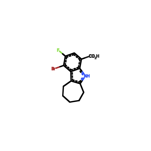 O=C(O)c1cc(F)c(Br)c2c3c([nH]c12)CCCCC3